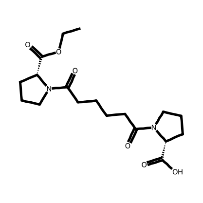 CCOC(=O)[C@H]1CCCN1C(=O)CCCCC(=O)N1CCC[C@@H]1C(=O)O